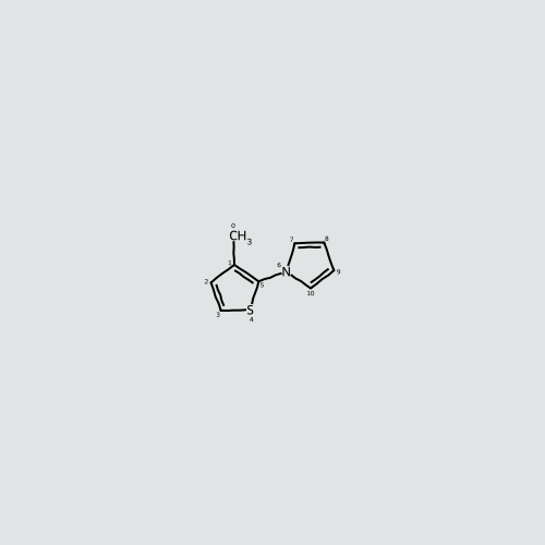 Cc1ccsc1-n1cccc1